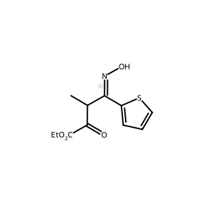 CCOC(=O)C(=O)C(C)/C(=N/O)c1cccs1